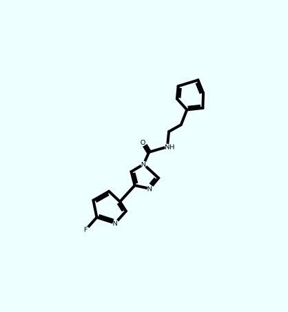 O=C(NCCc1ccccc1)n1cnc(-c2ccc(F)nc2)c1